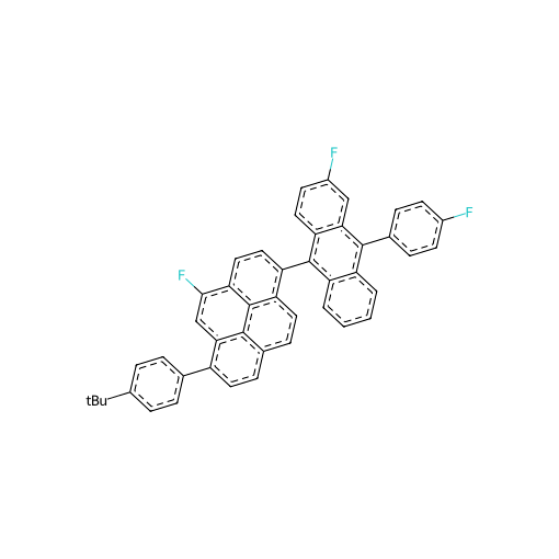 CC(C)(C)c1ccc(-c2ccc3ccc4c(-c5c6ccccc6c(-c6ccc(F)cc6)c6cc(F)ccc56)ccc5c(F)cc2c3c54)cc1